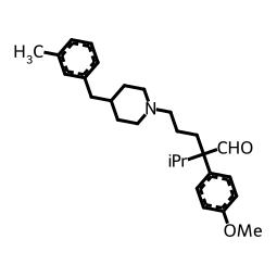 COc1ccc(C(C=O)(CCCN2CCC(Cc3cccc(C)c3)CC2)C(C)C)cc1